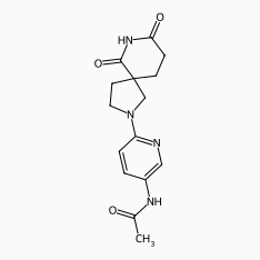 CC(=O)Nc1ccc(N2CCC3(CCC(=O)NC3=O)C2)nc1